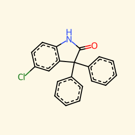 O=C1Nc2ccc(Cl)cc2C1(c1ccccc1)c1ccccc1